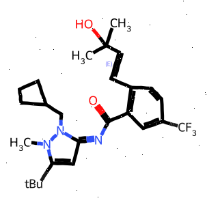 Cn1c(C(C)(C)C)cc(=NC(=O)c2cc(C(F)(F)F)ccc2/C=C/C(C)(C)O)n1CC1CCC1